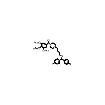 COc1cc(C(=O)N2CCN(CCCCOC(c3ccc(F)cc3)c3ccc(F)cc3)CC2)cc(OC)c1OC